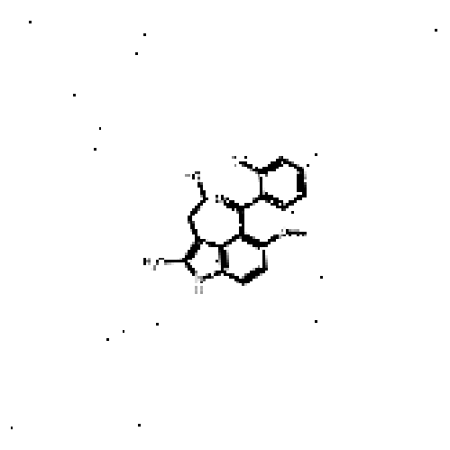 COc1ccc2[nH]c(C)c(CCO)c2c1C(=O)c1ccccc1Cl